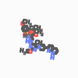 COc1ccc(S(=O)(=O)NC(CNc2nc(OC)nc(N3CCC(c4ccc5c(n4)NCCC5)CC3)c2C)C(=O)OC(C)(C)C)cc1